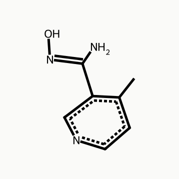 Cc1ccncc1/C(N)=N/O